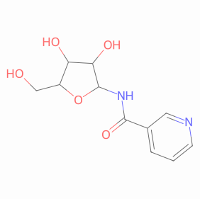 O=C(NC1OC(CO)C(O)C1O)c1cccnc1